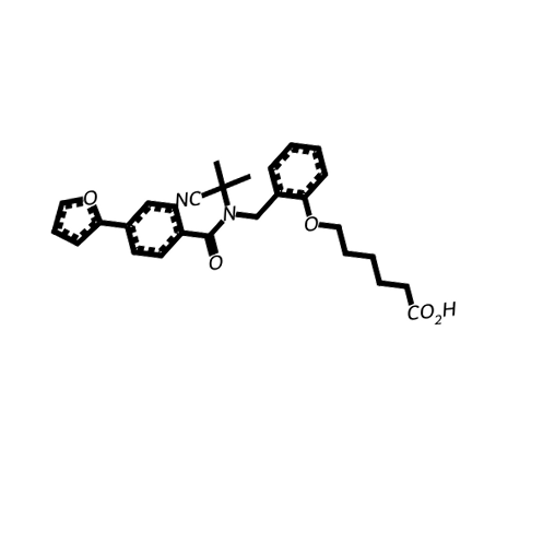 CC(C)(C#N)N(Cc1ccccc1OCCCCCC(=O)O)C(=O)c1ccc(-c2ccco2)cc1